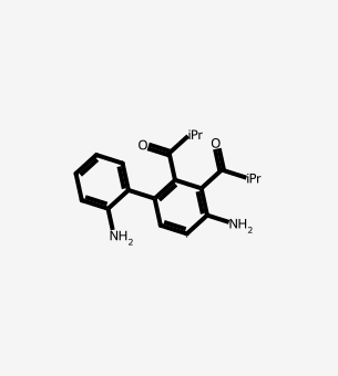 CC(C)C(=O)c1c(N)[c]cc(-c2ccccc2N)c1C(=O)C(C)C